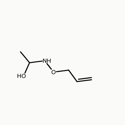 C=CCONC(C)O